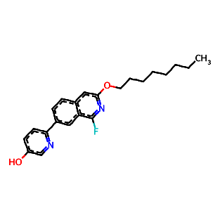 CCCCCCCCOc1cc2ccc(-c3ccc(O)cn3)cc2c(F)n1